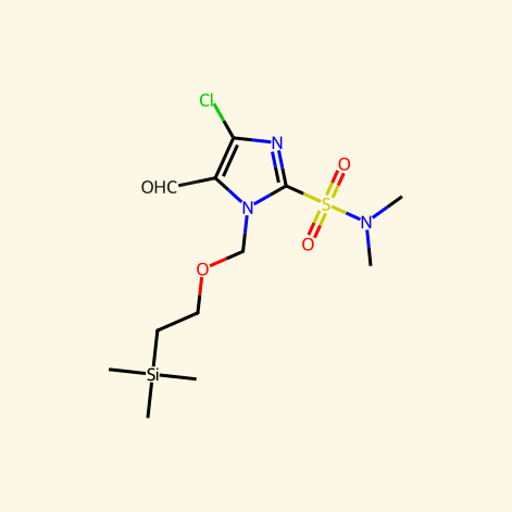 CN(C)S(=O)(=O)c1nc(Cl)c(C=O)n1COCC[Si](C)(C)C